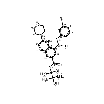 BC(B)(O)C(B)(B)NC(=O)c1cc(C(C)Nc2cccc(F)c2)c2nc(N3CCOCC3)cnc2c1